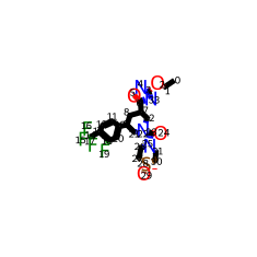 CCOc1noc(C2CC(c3ccc(C(F)(F)F)c(F)c3)CN(C(=O)N3CC[S+]([O-])CC3)C2)n1